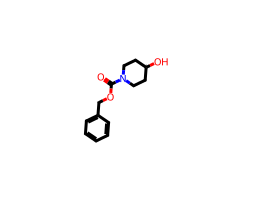 O=C(OCc1ccccc1)N1CC[C](O)CC1